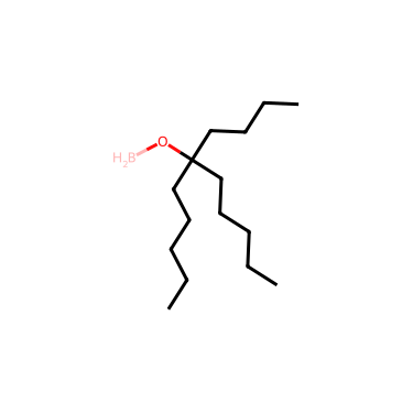 BOC(CCCC)(CCCCC)CCCCC